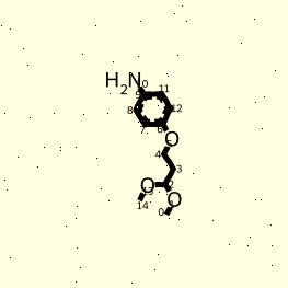 COC(CCOc1ccc(N)cc1)OC